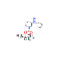 CC(C)(C)OC(=O)N1CCCC(NC2CCCC2)C1